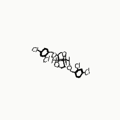 Clc1ccc(CO[C@H]2CO[C@H]3[C@@H]2OC[C@H]3OCc2ccc(Cl)cc2Cl)c(Cl)c1